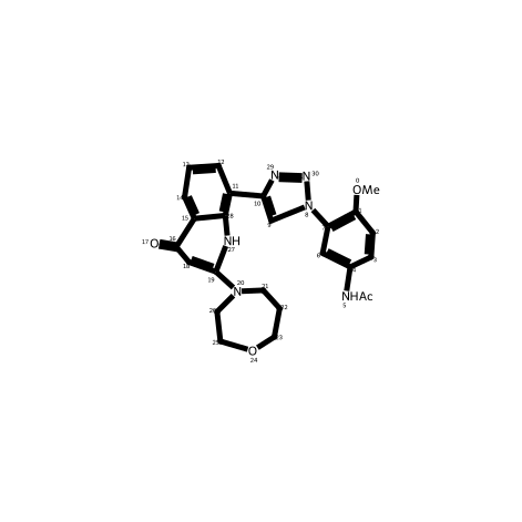 COc1ccc(NC(C)=O)cc1-n1cc(-c2cccc3c(=O)cc(N4CCCOCC4)[nH]c23)nn1